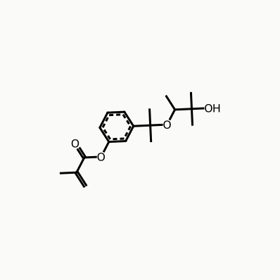 C=C(C)C(=O)Oc1cccc(C(C)(C)OC(C)C(C)(C)O)c1